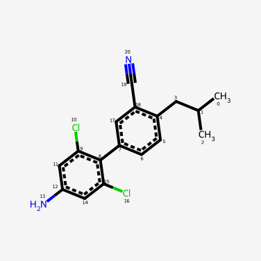 CC(C)Cc1ccc(-c2c(Cl)cc(N)cc2Cl)cc1C#N